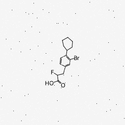 O=C(O)C(F)Cc1ccc(C2CCCCC2)c(Br)c1